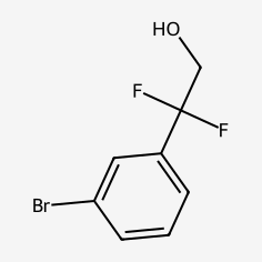 OCC(F)(F)c1cccc(Br)c1